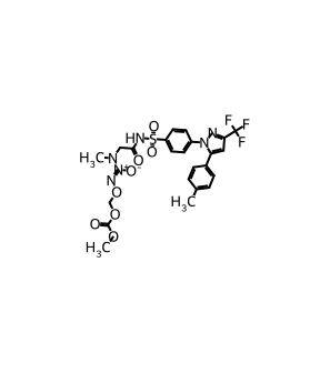 COC(=O)OCO/N=[N+](\[O-])N(C)CC(=O)NS(=O)(=O)c1ccc(-n2nc(C(F)(F)F)cc2-c2ccc(C)cc2)cc1